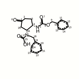 O=C1CC[C@H](NC(=O)OCc2ccccc2)[C@H](N(Cc2ccccc2)C(=O)O)C1